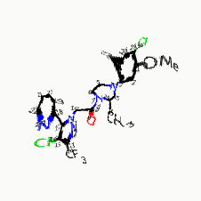 COc1cc(N2CCN(C(=O)Cn3nc(C(F)(F)F)c(Cl)c3-c3ccccn3)C(C)C2)ccc1Cl